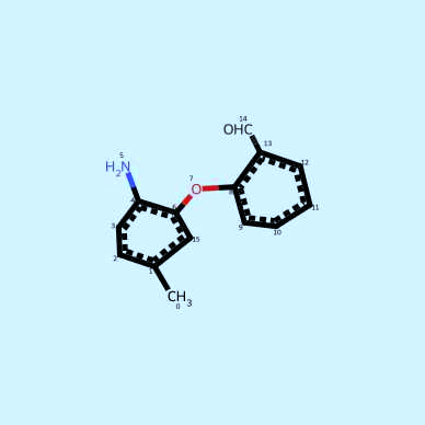 Cc1ccc(N)c(Oc2ccccc2C=O)c1